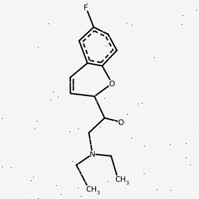 CCN(CC)CC([O])C1C=Cc2cc(F)ccc2O1